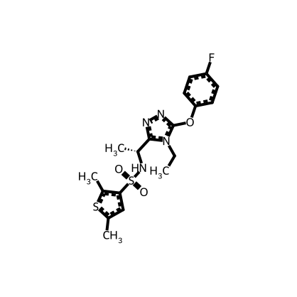 CCn1c(Oc2ccc(F)cc2)nnc1[C@@H](C)NS(=O)(=O)c1cc(C)sc1C